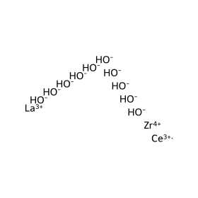 [Ce+3].[La+3].[OH-].[OH-].[OH-].[OH-].[OH-].[OH-].[OH-].[OH-].[OH-].[OH-].[Zr+4]